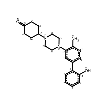 Nc1nnc(-c2ccccc2O)cc1N1CCN(C2CCC(=O)CC2)CC1